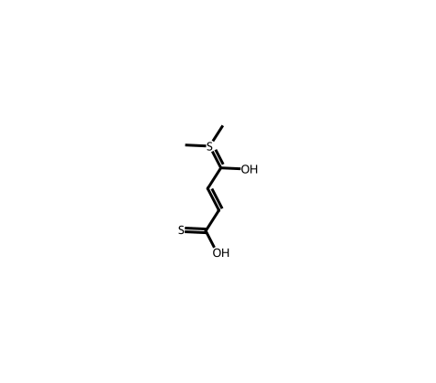 CS(C)=C(O)C=CC(O)=S